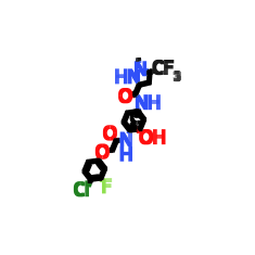 CN1NC(C(=O)NC23CCC(NC(=O)COc4ccc(Cl)c(F)c4)(CC2)C(O)C3)CC1C(F)(F)F